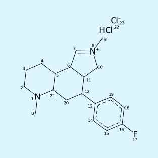 CN1CCCC2C3C=[N+](C)CC3C(c3ccc(F)cc3)CC21.Cl.[Cl-]